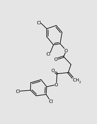 C=C(CC(=O)Oc1ccc(Cl)cc1Cl)C(=O)Oc1ccc(Cl)cc1Cl